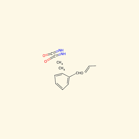 C.C.C=CC.N=C=O.N=C=O.O=Cc1ccccc1